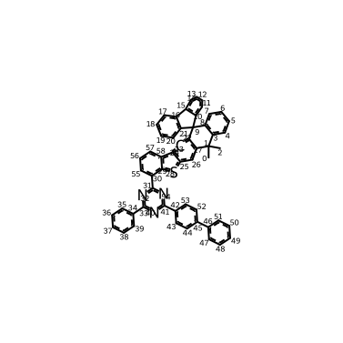 CC1(C)c2ccccc2C2(c3ccccc3-c3ccccc32)c2cc3c(cc21)sc1c(-c2nc(-c4ccccc4)nc(-c4ccc(-c5ccccc5)cc4)n2)cccc13